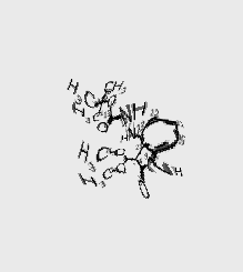 COC(OC)C1C(=O)Nc2cccc(NNC(=O)OC(C)(C)C)c21